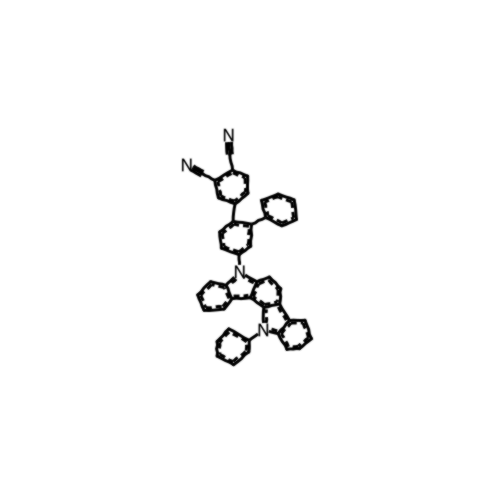 N#Cc1ccc(-c2ccc(-n3c4ccccc4c4c3ccc3c5ccccc5n(-c5ccccc5)c34)cc2-c2ccccc2)cc1C#N